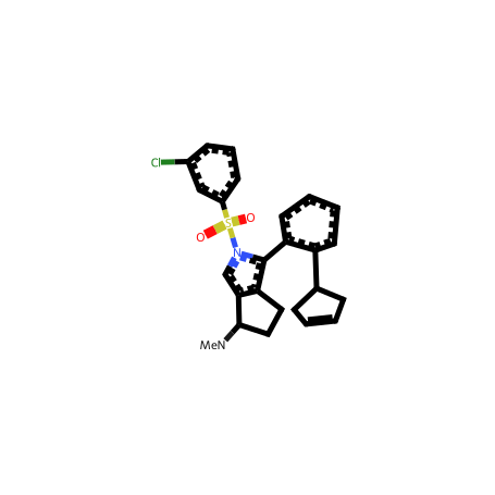 CNC1CCc2c1cn(S(=O)(=O)c1cccc(Cl)c1)c2-c1ccccc1C1CC=CC1